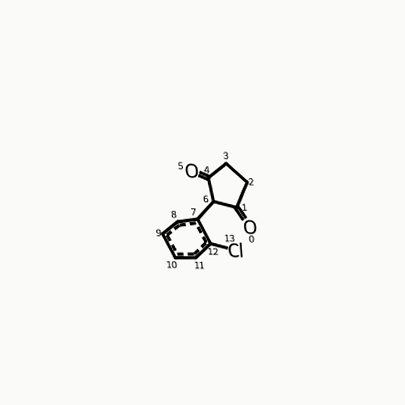 O=C1CCC(=O)C1c1ccccc1Cl